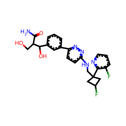 NC(=O)C(CO)C(O)c1cccc(-c2ccc(NCC3(c4ncccc4F)CC(F)C3)nn2)c1